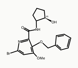 COc1cc(Br)nc(C(=O)NC2CCC[C@H]2O)c1OCc1ccccc1